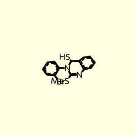 CSC1=Nc2ccccc2C(S)N1c1ccccc1Br